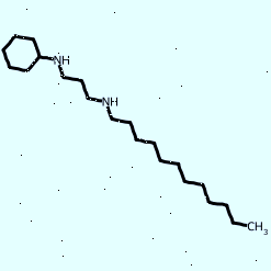 CCCCCCCCCCCCNCCCNC1CCCCC1